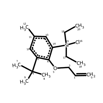 C=CCOc1c(C(C)(C)C)cc(C)cc1[Si](Cl)(CC)CC